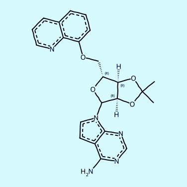 CC1(C)O[C@@H]2[C@@H](COc3cccc4cccnc34)OC(n3ccc4c(N)ncnc43)[C@@H]2O1